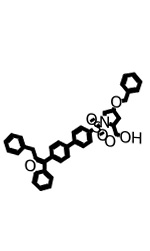 O=C(O)C1CC(OCc2ccccc2)CN1S(=O)(=O)c1ccc(-c2ccc(-c3c(Cc4ccccc4)oc4ccccc34)cc2)cc1